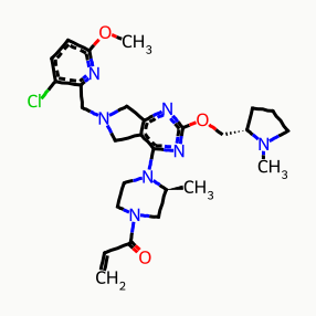 C=CC(=O)N1CCN(c2nc(OC[C@@H]3CCCN3C)nc3c2CN(Cc2nc(OC)ccc2Cl)C3)[C@@H](C)C1